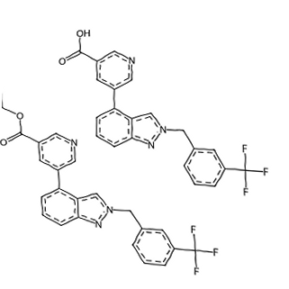 CCOC(=O)c1cncc(-c2cccc3nn(Cc4cccc(C(F)(F)F)c4)cc23)c1.O=C(O)c1cncc(-c2cccc3nn(Cc4cccc(C(F)(F)F)c4)cc23)c1